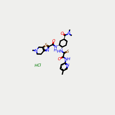 Cc1ccc(NC(=O)C(=S)N[C@H]2CC[C@H](C(=O)N(C)C)C[C@H]2NC(=O)c2nc3c(s2)CN(C)CC3)nc1.Cl